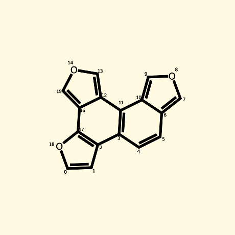 c1cc2c3ccc4cocc4c3c3cocc3c2o1